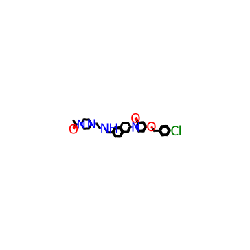 CC(=O)N1CCN(CCNCc2ccc3c(c2)CCC(n2ccc(OCc4ccc(Cl)cc4)cc2=O)=C3)CC1